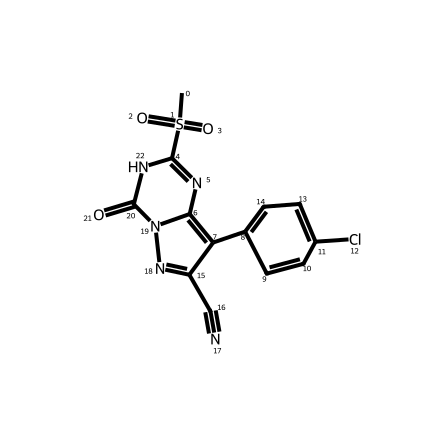 CS(=O)(=O)c1nc2c(-c3ccc(Cl)cc3)c(C#N)nn2c(=O)[nH]1